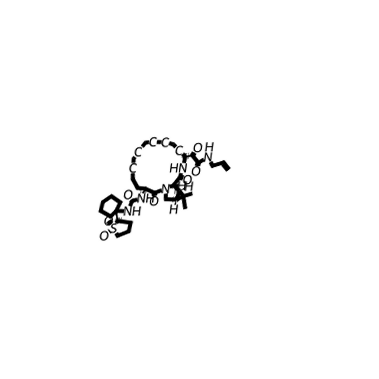 C=CCNC(=O)C(=O)[C@@H]1CCCCCCCCCC[C@H](NC(=O)NC2([C@H]3CCCS3(=O)=O)CCCCC2)C(=O)N2C[C@H]3[C@@H]([C@H]2C(=O)N1)C3(C)C